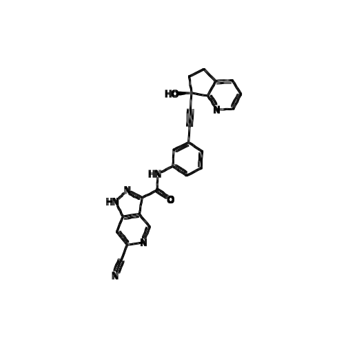 N#Cc1cc2[nH]nc(C(=O)Nc3cccc(C#C[C@]4(O)CCc5cccnc54)c3)c2cn1